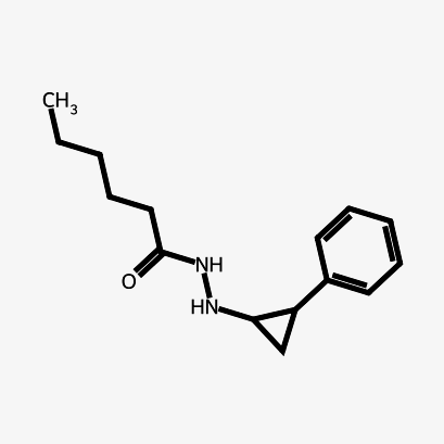 CCCCCC(=O)NNC1CC1c1ccccc1